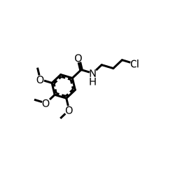 COc1cc(C(=O)NCCCCl)cc(OC)c1OC